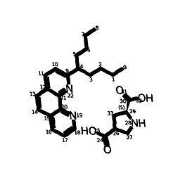 CCCCC(CCCC)c1ccc2ccc3cccnc3c2n1.O=C(O)C1CN[C@H](C(=O)O)C1